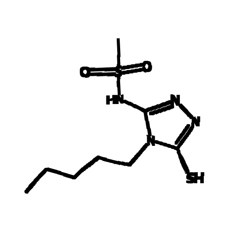 CCCCCn1c(S)nnc1NS(C)(=O)=O